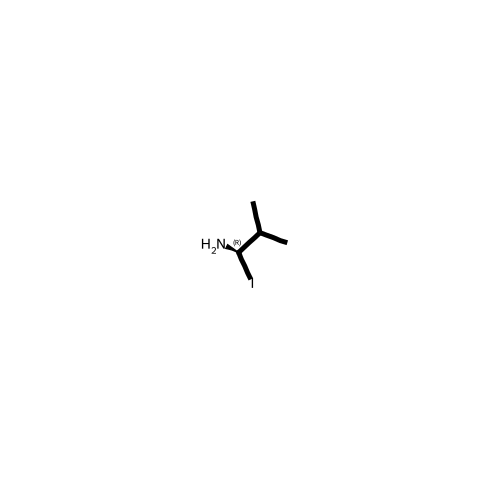 CC(C)[C@H](N)I